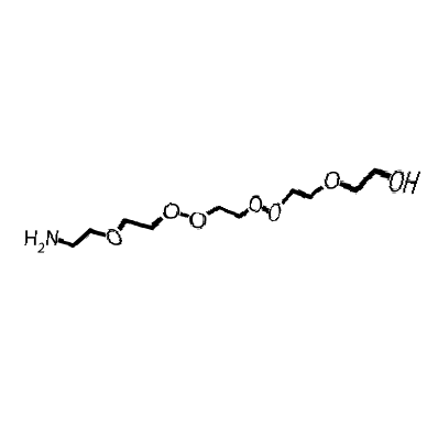 NCCOCCOOCCOOCCOCCO